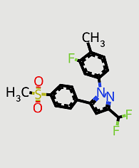 Cc1ccc(-n2nc(C(F)F)cc2-c2ccc(S(C)(=O)=O)cc2)cc1F